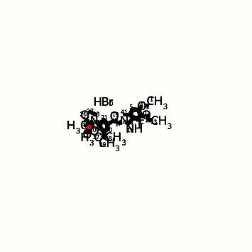 Br.CCOc1cc2c(c(F)c1OCC)C(=N)N(CC(=O)c1cc(N3CCOCC3)c(OS(C)(=O)=O)c(C(C)(C)C)c1)C2